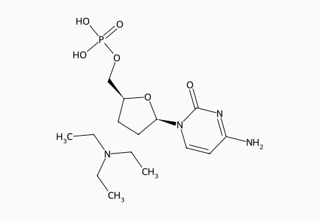 CCN(CC)CC.Nc1ccn([C@H]2CC[C@@H](COP(=O)(O)O)O2)c(=O)n1